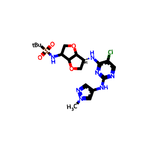 Cn1cc(Nc2ncc(Cl)c(N[C@@H]3COC4C(NS(=O)(=O)C(C)(C)C)COC43)n2)cn1